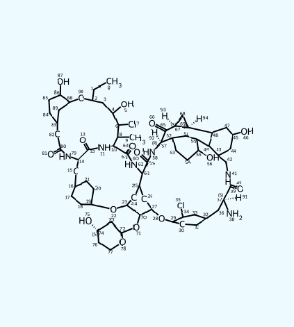 CCC1CC(O)C(Cl)C(C)C2NC(=O)C(CC3CCC(CC3)OC3CC4CC(OC5CCC(CC5Cl)C[C@H](N)C(=O)NCC5CC(O)CC6C5C5CC(CCC5O)[C@@H](NC(=O)C4NC2=O)C(=O)[C@H]2C[C@@H]62)C3OC2C[C@@H](O)CCO2)NC(=O)CC2CCC(O)C(C2)O1